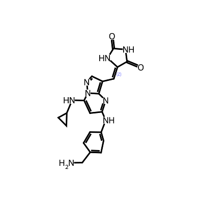 NCc1ccc(Nc2cc(NC3CC3)n3ncc(/C=C4\NC(=O)NC4=O)c3n2)cc1